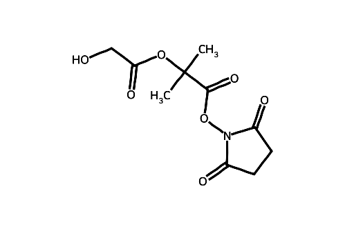 CC(C)(OC(=O)CO)C(=O)ON1C(=O)CCC1=O